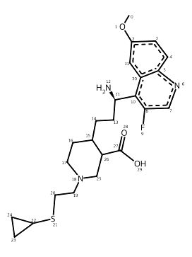 COc1ccc2ncc(F)c([C@H](N)CCC3CCN(CCSC4CC4)CC3C(=O)O)c2c1